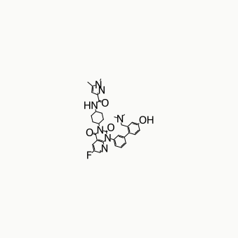 Cc1cc(C(=O)NC2CCC(n3c(=O)c4cc(F)cnc4n(-c4cccc(-c5ccc(O)cc5CN(C)C)c4)c3=O)CC2)nn1C